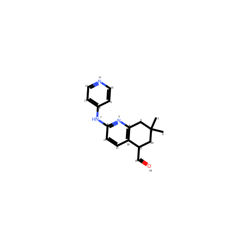 CC1(C)Cc2nc(Nc3ccncc3)ccc2C(C=O)C1